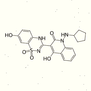 O=c1c(C2=NS(=O)(=O)c3cc(O)ccc3N2)c(O)c2ccccc2n1NC1CCCC1